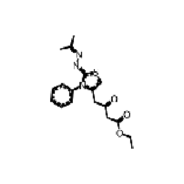 CCOC(=O)CC(=O)Cc1csc(=NN=C(C)C)n1-c1ccccc1